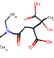 CCN(CC)C(=O)CC(C(=O)O)C(C)(O)C(=O)O